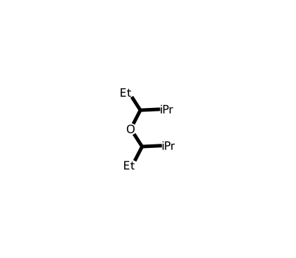 CCC(OC(CC)C(C)C)C(C)C